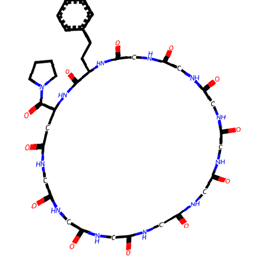 O=C1CNC(=O)CNC(=O)CNC(=O)CNC(=O)CC(C(=O)N2CCCC2)NC(=O)C(CCc2ccccc2)NC(=O)CNC(=O)CNC(=O)CNC(=O)CNC(=O)CN1